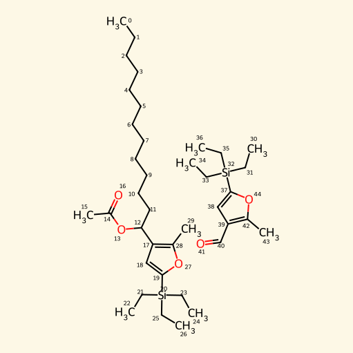 CCCCCCCCCCCCC(OC(C)=O)c1cc([Si](CC)(CC)CC)oc1C.CC[Si](CC)(CC)c1cc(C=O)c(C)o1